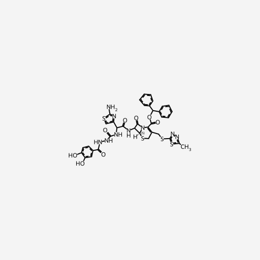 Cc1nnc(SCC2=C(C(=O)OC(c3ccccc3)c3ccccc3)N3C(=O)C(NC(=O)C(NC(=O)NNC(=O)c4ccc(O)c(O)c4)c4csc(N)n4)[C@@H]3SC2)s1